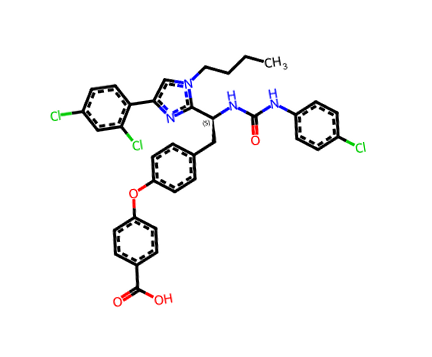 CCCCn1cc(-c2ccc(Cl)cc2Cl)nc1[C@H](Cc1ccc(Oc2ccc(C(=O)O)cc2)cc1)NC(=O)Nc1ccc(Cl)cc1